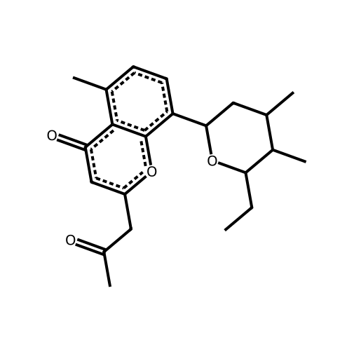 CCC1OC(c2ccc(C)c3c(=O)cc(CC(C)=O)oc23)CC(C)C1C